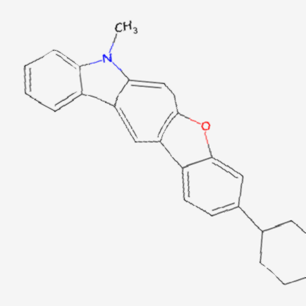 Cn1c2ccccc2c2cc3c(cc21)oc1cc(C2CCCCC2)ccc13